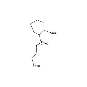 CCCCCCCCCCCC[S@+]([O-])C1CCCCC1OC(C)=O